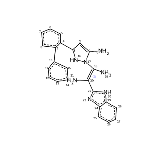 NC1=CC(c2ccccc2-c2ccccc2)NN1/C(N)=C(\N)c1nc2ccccc2[nH]1